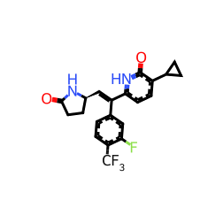 O=C1CC[C@H](/C=C(\c2ccc(C(F)(F)F)c(F)c2)c2ccc(C3CC3)c(=O)[nH]2)N1